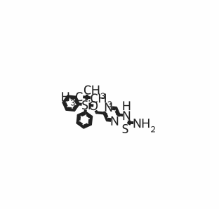 CC(C)(C)[Si](OCc1cnc(NC(N)=S)cn1)(c1ccccc1)c1ccccc1